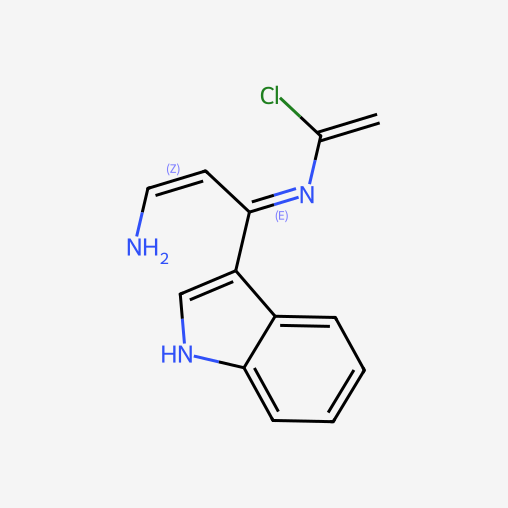 C=C(Cl)/N=C(\C=C/N)c1c[nH]c2ccccc12